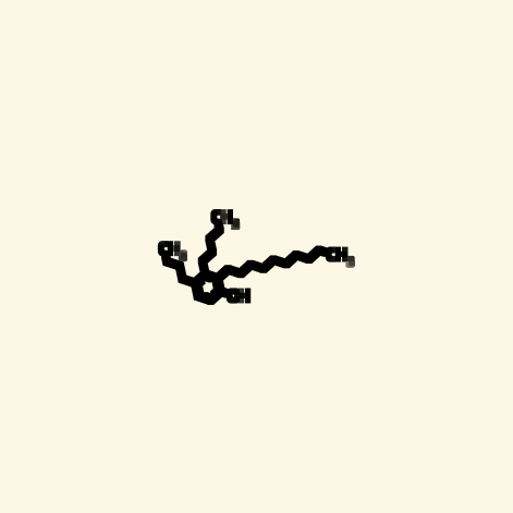 CCCCCCCCCCc1c(O)ccc(CCCC)c1CCCCC